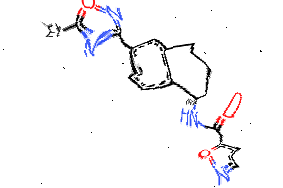 CCc1nc(-c2ccc3c(c2)CC[C@H]3NC(=O)c2ccno2)no1